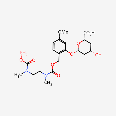 BOC(=O)N(C)CCN(C)C(=O)OCc1ccc(OC)cc1O[C@H]1C[C@@H](O)C[C@@H](C(=O)O)O1